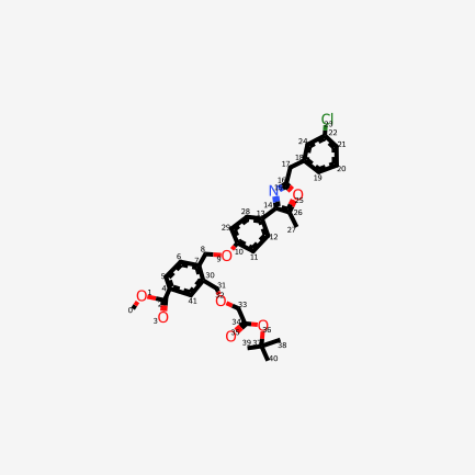 COC(=O)c1ccc(COc2ccc(-c3nc(Cc4cccc(Cl)c4)oc3C)cc2)c(COCC(=O)OC(C)(C)C)c1